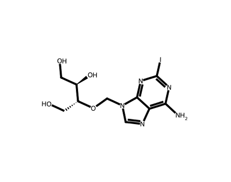 Nc1nc(I)nc2c1ncn2CO[C@H](CO)[C@H](O)CO